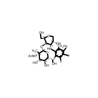 CC(=O)N[C@]1(C)[C@H](O[C@@H]2[C@@H](Nc3c(F)c(F)c(F)c(F)c3C(=O)O)[C@@H](O)CO[C@@H]2CO)O[C@H](CO)[C@@H](O)[C@@H]1O